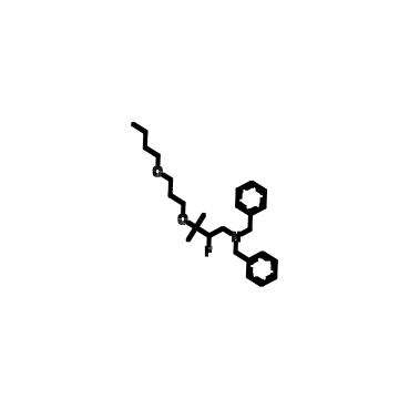 CCCCOCCCOC(C)(C)C(F)CN(Cc1ccccc1)Cc1ccccc1